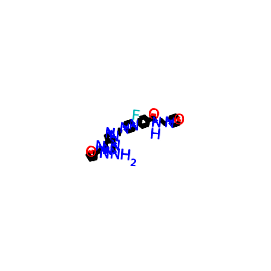 Nc1nc2c(cnn2CCN2CCN(c3ccc(C(=O)NCCN4CCOCC4)cc3F)CC2)c2nc(-c3ccco3)nn12